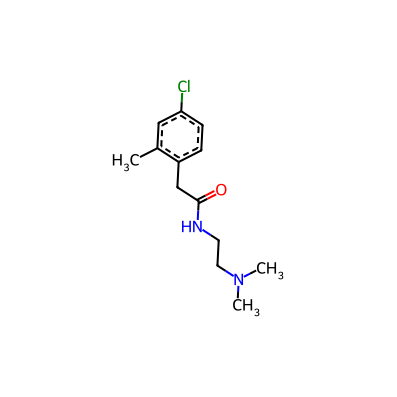 Cc1cc(Cl)ccc1CC(=O)NCCN(C)C